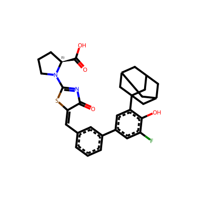 O=C1N=C(N2CCC[C@H]2C(=O)O)SC1=Cc1cccc(-c2cc(F)c(O)c(C34CC5CC(CC(C5)C3)C4)c2)c1